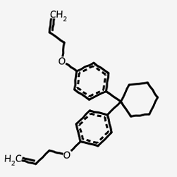 C=CCOc1ccc(C2(c3ccc(OCC=C)cc3)CCCCC2)cc1